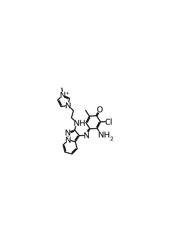 CC1=C/C(=N\c2c(NCCn3cc[n+](C)c3)nn3ccccc23)C(N)=C(Cl)C1=O